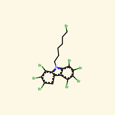 BrCCCCCCn1c2c(Br)c(Br)c(Br)cc2c2c(Br)c(Br)c(Br)c(Br)c21